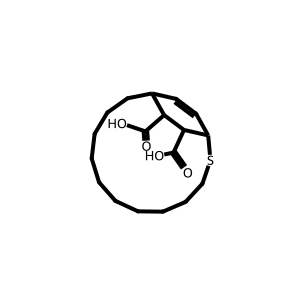 O=C(O)C1C2C=CC(SCCCCCCCCCC2)C1C(=O)O